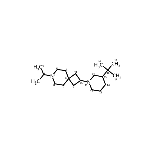 CC(C)N1CCC2(CC1)CC(N1CCCC(C(C)(C)C)C1)C2